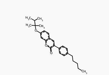 CCCCCc1ccc(-c2cc3ccc(OC(C)(C)C(C)C)cc3oc2=O)cc1